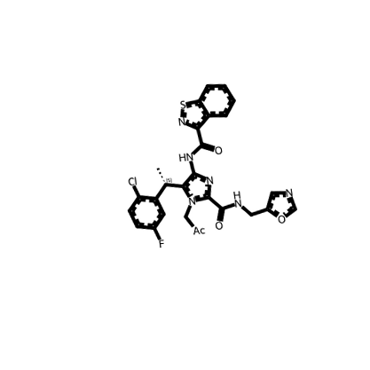 CC(=O)Cn1c(C(=O)NCc2cnco2)nc(NC(=O)c2nsc3ccccc23)c1[C@@H](C)c1cc(F)ccc1Cl